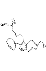 O=CC(Cl)CCCCc1c(-c2cccnc2)[nH]c2ccc(CCl)cc12